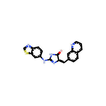 O=C1NC(Nc2ccc3ncsc3c2)=NC1=Cc1ccc2cccnc2c1